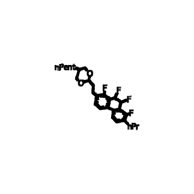 CCCCCC1COC(CCc2ccc3c(c2F)C(F)C(F)c2c-3ccc(CCC)c2F)OC1